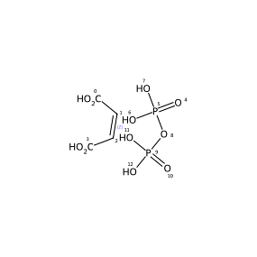 O=C(O)/C=C\C(=O)O.O=P(O)(O)OP(=O)(O)O